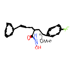 CO[C@H](CC(CC=Cc1ccccc1)C(=O)NO)c1ccc(F)cc1